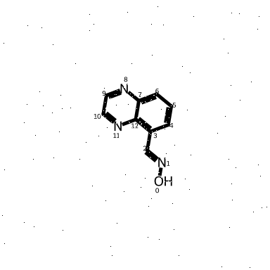 ON=Cc1cccc2nccnc12